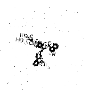 CN(CC(CCN1CCC(c2ccccc2[S@+](C)[O-])CC1)c1ccc(F)c(F)c1)C(=O)c1cc(C#N)cc2ccccc12.O=C(O)CC(O)(CC(=O)O)C(=O)O